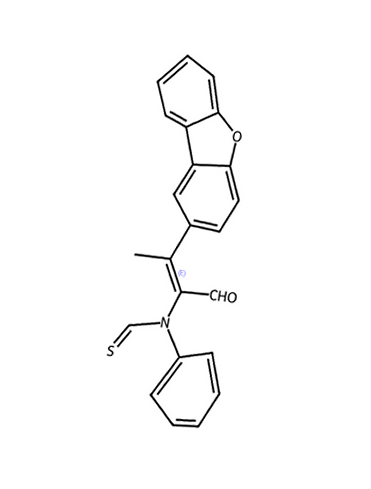 C/C(=C(/C=O)N(C=S)c1ccccc1)c1ccc2oc3ccccc3c2c1